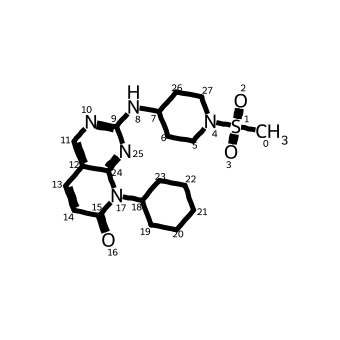 CS(=O)(=O)N1CCC(Nc2ncc3ccc(=O)n(C4CCCCC4)c3n2)CC1